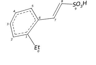 CCc1ccccc1C=CS(=O)(=O)O